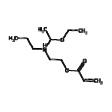 C=CC(=O)OCC[SiH](CCC)C(C)OCC